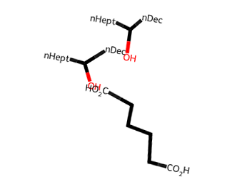 CCCCCCCCCCC(O)CCCCCCC.CCCCCCCCCCC(O)CCCCCCC.O=C(O)CCCCC(=O)O